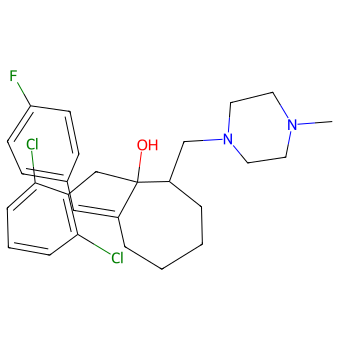 CN1CCN(CC2CCCC/C(=C/c3ccc(F)cc3)C2(O)Cc2c(Cl)cccc2Cl)CC1